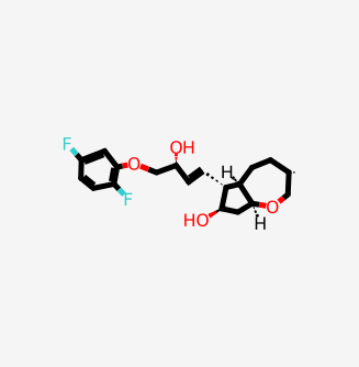 O[C@H](/C=C/[C@@H]1[C@H]2CC[CH]CO[C@H]2C[C@H]1O)COc1cc(F)ccc1F